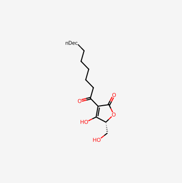 CCCCCCCCCCCCCCCC(=O)C1=C(O)[C@@H](CO)OC1=O